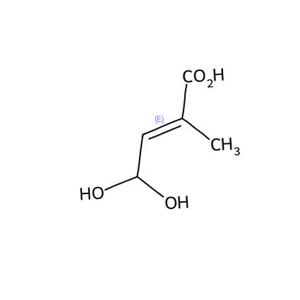 C/C(=C\C(O)O)C(=O)O